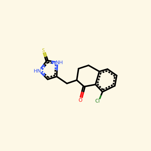 O=C1c2c(Cl)cccc2CCC1Cc1c[nH]c(=S)[nH]1